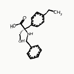 CCc1ccc([C@@](CO)(NCc2ccccc2)C(=O)O)cc1